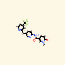 Cn1cc(C(=O)Nc2ccc(Cc3cc(C(F)(F)F)ccn3)cn2)ccc1=O